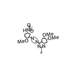 COc1cc2nc(C3CC3)nc(N3CCN(c4cc(NS(C)(=O)=O)ccc4OC)CC3)c2cc1OC